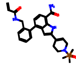 C=CC(=O)NCc1ccccc1-c1ccc(C(N)=O)c2[nH]c(C3=CCN(S(C)(C)(C)=O)CC3)cc12